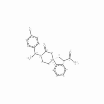 C[C@@H](c1ccc(Cl)cc1)N1CC[C@](CCC(N)=O)(c2ccccc2)CC1=O